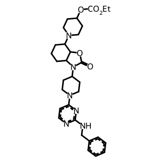 CCOC(=O)OC1CCN(C2CCCC3C2OC(=O)N3C2CCN(c3ccnc(NCc4ccccc4)n3)CC2)CC1